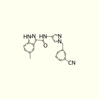 Cc1ccc2[nH]nc(C(=O)Nc3cnn(Cc4cccc(C#N)c4)c3)c2c1